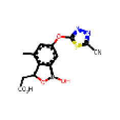 Cc1cc(Oc2nnc(C#N)s2)cc2c1C(CC(=O)O)OB2O